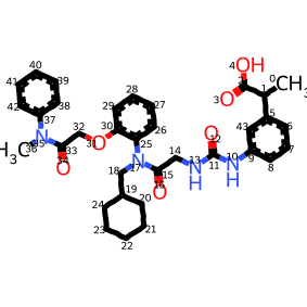 CC(C(=O)O)c1cccc(NC(=O)NCC(=O)N(CC2CCCCC2)c2ccccc2OCC(=O)N(C)c2ccccc2)c1